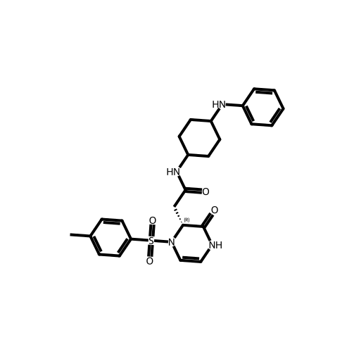 Cc1ccc(S(=O)(=O)N2C=CNC(=O)[C@H]2CC(=O)NC2CCC(Nc3ccccc3)CC2)cc1